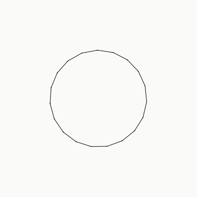 C1CCCCCCCCCCCCCCCCCC1